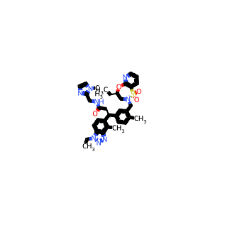 CC[C@@H]1CN(Cc2cc([C@H](CC(=O)NCc3nccn3C)c3ccc4c(nnn4CC)c3C)ccc2C)S(=O)(=O)c2cccnc2O1